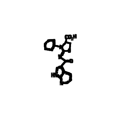 O=C(/N=C1\SCC(C(=O)O)N1c1ccccc1)c1c[nH]c2ncccc12